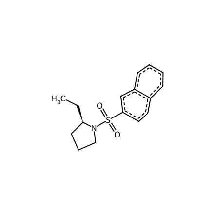 CC[C@@H]1CCCN1S(=O)(=O)c1ccc2ccccc2c1